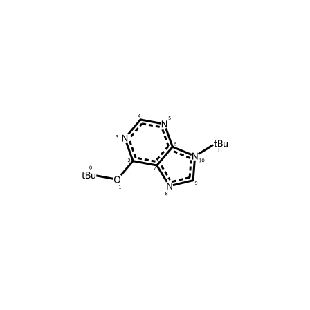 CC(C)(C)Oc1ncnc2c1ncn2C(C)(C)C